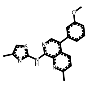 COc1cccc(-c2cnc(Nc3nc(C)cs3)c3nc(C)ccc23)c1